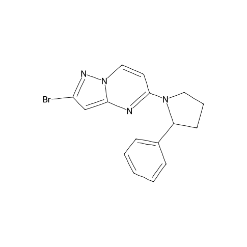 Brc1cc2nc(N3CCCC3c3ccccc3)ccn2n1